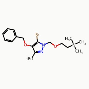 CC(C)(C)c1nn(COCC[Si](C)(C)C)c(Br)c1OCc1ccccc1